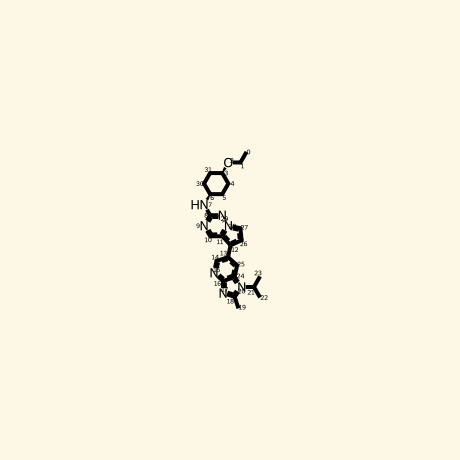 CCO[C@H]1CC[C@@H](Nc2ncc3c(-c4cnc5nc(C)n(C(C)C)c5c4)ccn3n2)CC1